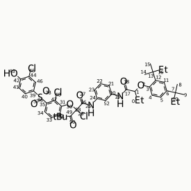 CCC(Oc1ccc(C(C)(C)CC)cc1C(C)(C)CC)C(=O)Nc1cccc(NC(=O)C(Cl)(Oc2cccc(S(=O)(=O)c3ccc(O)c(Cl)c3)c2Cl)C(=O)C(C)(C)C)c1